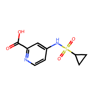 O=C(O)c1cc(NS(=O)(=O)C2CC2)ccn1